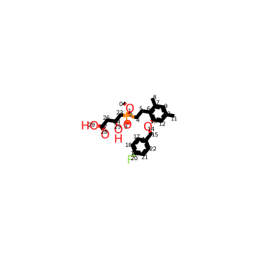 COP(=O)(CCc1c(C)cc(C)cc1OCc1ccc(F)cc1)C[C@@H](O)CC(=O)O